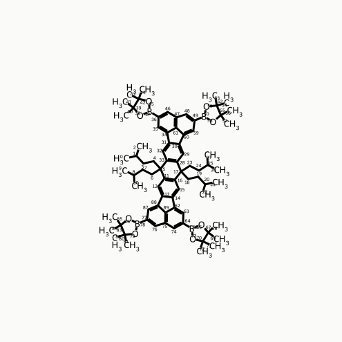 CC(C)CCC1(CCC(C)C)c2cc3c(cc2C(CCC(C)C)(CCC(C)C)c2cc4c(cc21)-c1cc(B2OC(C)(C)C(C)(C)O2)cc2cc(B5OC(C)(C)C(C)(C)O5)cc-4c12)-c1cc(B2OC(C)(C)C(C)(C)O2)cc2cc(B4OC(C)(C)C(C)(C)O4)cc-3c12